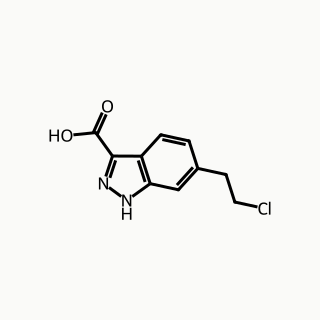 O=C(O)c1n[nH]c2cc(CCCl)ccc12